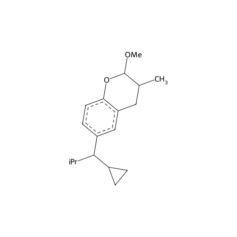 COC1Oc2ccc(C(C(C)C)C3CC3)cc2CC1C